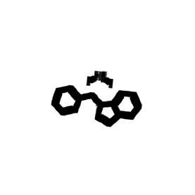 C1=Cc2ccccc2[C]1Cc1ccccc1.[I][Hf][I]